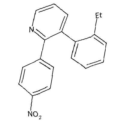 CCc1ccccc1-c1cccnc1-c1ccc([N+](=O)[O-])cc1